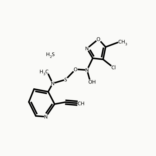 C#Cc1ncccc1N(C)SON(O)c1noc(C)c1Cl.S